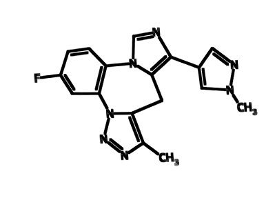 Cc1nnn2c1Cc1c(-c3cnn(C)c3)ncn1-c1ccc(F)cc1-2